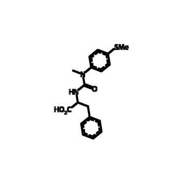 CSc1ccc(N(C)C(=O)NC(Cc2ccccc2)C(=O)O)cc1